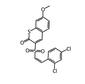 COc1ccc2cc(S(=O)(=O)/C=C\c3ccc(Cl)cc3Cl)c(=O)sc2c1